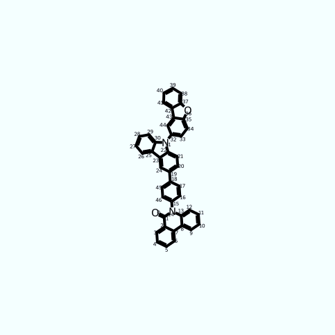 O=c1c2ccccc2c2ccccc2n1-c1ccc(-c2ccc3c(c2)c2ccccc2n3-c2ccc3oc4ccccc4c3c2)cc1